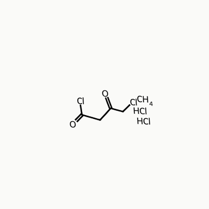 C.Cl.Cl.O=C(Cl)CC(=O)CCl